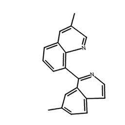 Cc1cnc2c(-c3nccc4ccc(C)cc34)cccc2c1